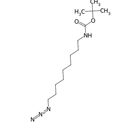 CC(C)(C)OC(=O)NCCCCCCCCCN=[N+]=[N-]